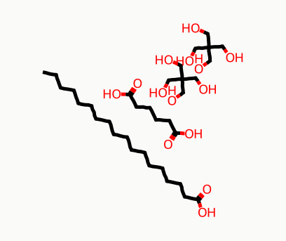 CCCCCCCCCCCCCCCCCC(=O)O.O=C(O)CCCCC(=O)O.OCC(CO)(CO)CO.OCC(CO)(CO)CO